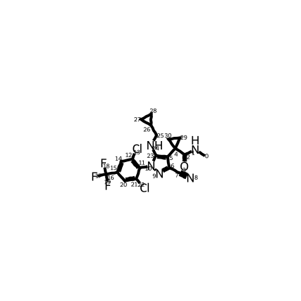 CNC(=O)C1(c2c(C#N)nn(-c3c(Cl)cc(C(F)(F)F)cc3Cl)c2NCC2CC2)CC1